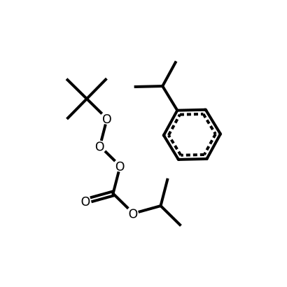 CC(C)OC(=O)OOOC(C)(C)C.CC(C)c1ccccc1